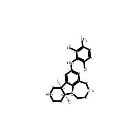 Cc1ccc(Cl)c(Nc2cc3c4c(c2)[C@@H]2CNCC[C@@H]2N4CCOC3)c1Cl